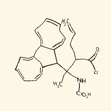 C=CCC(C(=O)Cl)C(C)(NC(=O)O)C1c2ccccc2-c2ccccc21